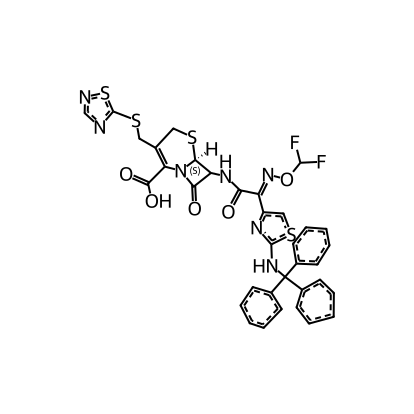 O=C(O)C1=C(CSc2ncns2)CS[C@H]2C(NC(=O)C(=NOC(F)F)c3csc(NC(c4ccccc4)(c4ccccc4)c4ccccc4)n3)C(=O)N12